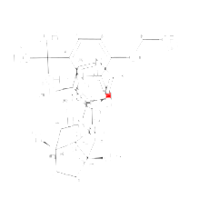 CC(C)(O)c1ccc(OCC(F)(F)F)c2nc(N[C@@H]3[C@@H]4CC[C@H]3CN(c3ccncc3F)C4)nn12